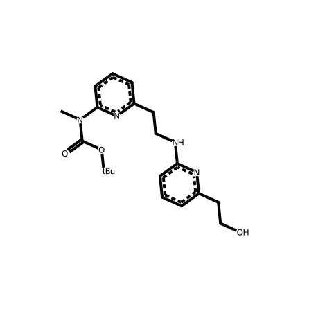 CN(C(=O)OC(C)(C)C)c1cccc(CCNc2cccc(CCO)n2)n1